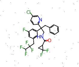 O=C(NCC(Cc1ccccc1)(c1cc(F)cc(CC(F)(F)C(F)F)c1)c1ccc(Cl)cn1)C1CC1(F)F